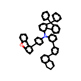 C1=Cc2c(cccc2-c2cccc(-c3cccc(N(c4ccc(-c5cccc6oc7ccccc7c56)cc4)c4cccc5c4-c4ccccc4C5(c4ccccc4)c4ccccc4)c3)c2)CC1